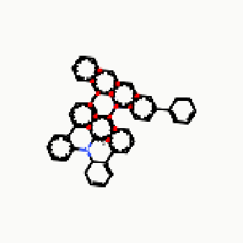 C/C=C(\C=C/Cc1ccccc1)N(c1ccc(C2=CC=CCC2)cc1)c1ccccc1-c1ccc(-c2ccccc2N(c2ccc(-c3ccccc3)cc2)C2CC=CC=C2c2ccccc2)cc1